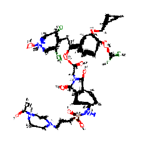 CC(=O)N1CCN(CCCS(=O)(=O)Nc2ccc3c(c2)C(=O)N(CC(=O)O[C@@H](Cc2c(Cl)c[n+]([O-])cc2Cl)c2ccc(OC(F)F)c(OCC4CC4)c2)C3=O)CC1